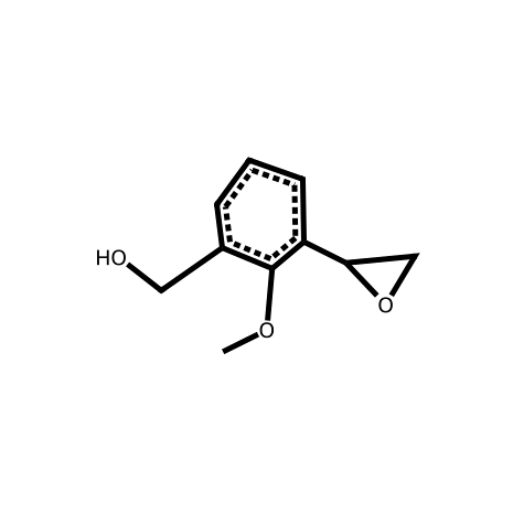 COc1c(CO)cccc1C1CO1